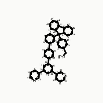 CC(C)Cc1ccc(C2(c3cccc(-c4ccc(-c5cc(-c6cccnc6)cc(-c6cccnc6)c5)cc4)c3)c3ccccc3-c3ccccc32)cc1